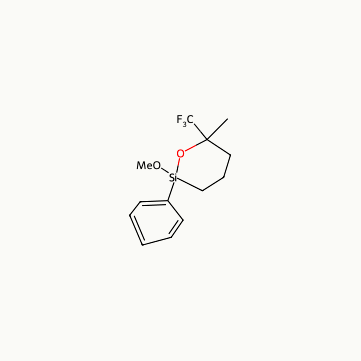 CO[Si]1(c2ccccc2)CCCC(C)(C(F)(F)F)O1